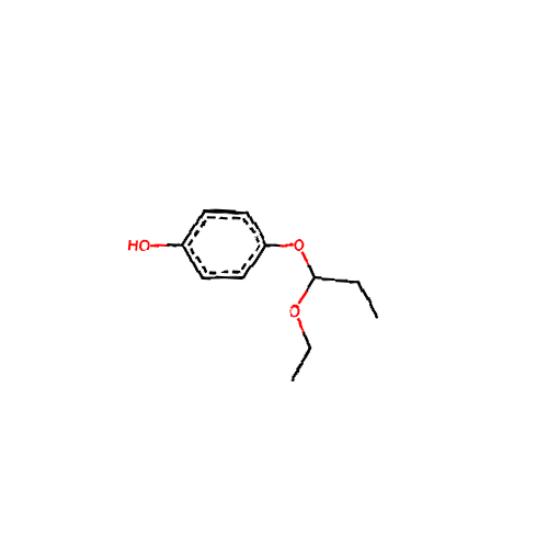 CCOC(CC)Oc1ccc(O)cc1